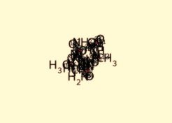 CCn1nc(C)cc1C(=O)Nc1nc2cc(C(N)=O)cc(OCCCNC(=O)CN3CCOCC3)c2n1C/C=C/[C@H]1CN(C)c2cc(C(N)=O)cc3nc(NC(=O)c4cc(C)nn4CC)n1c23